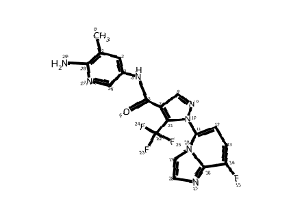 Cc1cc(NC(=O)c2cnn(-c3ccc(F)c4nccn34)c2C(F)(F)F)cnc1N